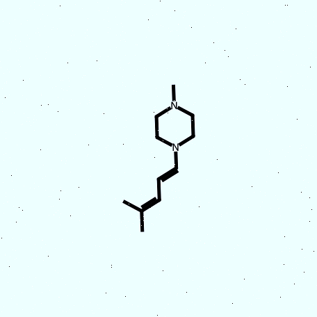 CC(C)=CC=CN1CCN(C)CC1